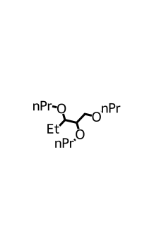 CCCOCC(OCCC)C(CC)OCCC